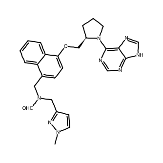 Cn1ccc(CN(C=O)Cc2ccc(OC[C@H]3CCCN3c3ncnc4[nH]cnc34)c3ccccc23)n1